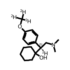 [2H]C([2H])([2H])Oc1ccc([C@@]([2H])(CN(C)C)C2(O)CCCCC2)cc1